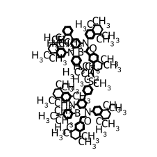 Cc1cc2c(cc1N1c3cc(C(C)(C)C)ccc3B3c4c1cc(-c1ccc([Si](C)(C)CCC5(C)CCC(C)(C)c6cc7oc8c(c7cc65)B5c6cc(C(C)(C)C)ccc6N(c6ccc7c(c6)C(C)(C)CCC7(C)C)c6cc(-c7ccccc7[Si](C)(C)C)cc(c65)N8c5ccc6c(c5)C(C)(C)CCC6(C)C)cc1)cc4N(c1ccc4c(c1)C(C)(C)CCC4(C)C)c1oc4cc5c(cc4c13)C(C)(C)CCC5(C)C)C(C)(C)CCC2(C)C